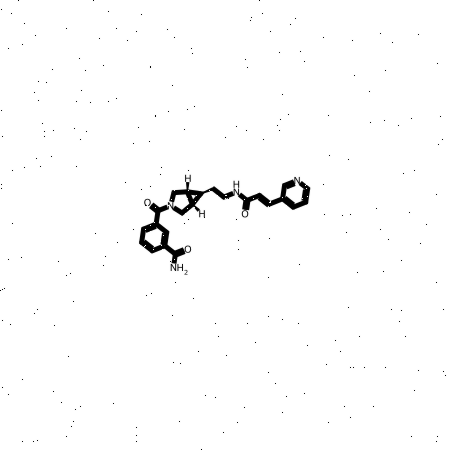 NC(=O)c1cccc(C(=O)N2C[C@@H]3[C@@H](CCNC(=O)/C=C/c4cccnc4)[C@@H]3C2)c1